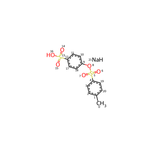 Cc1ccc(S(=O)(=O)Oc2ccc(S(=O)(=O)O)cc2)cc1.[NaH]